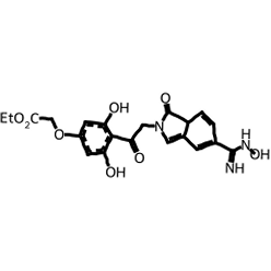 CCOC(=O)COc1cc(O)c(C(=O)CN2C=C3C=C(C(=N)NO)C=CC3C2=O)c(O)c1